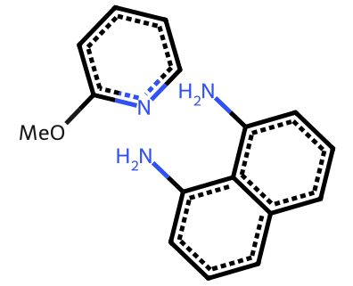 COc1ccccn1.Nc1cccc2cccc(N)c12